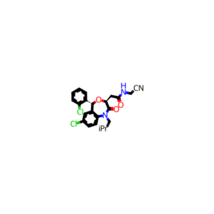 CC(C)CN1C(=O)[C@H](CC(=O)NCC#N)O[C@@H](c2ccccc2Cl)c2cc(Cl)ccc21